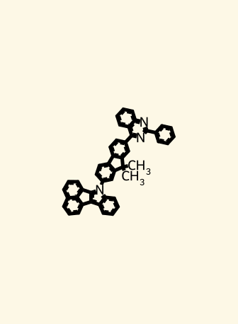 CC1(C)c2cc(-c3nc(-c4ccccc4)nc4ccccc34)ccc2-c2ccc(-n3c4c(c5ccccc53)-c3cccc5cccc-4c35)cc21